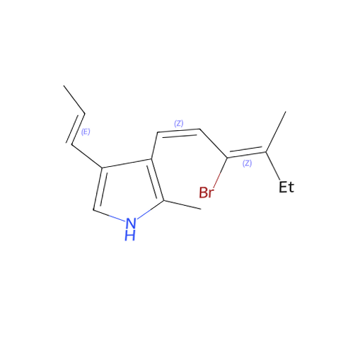 C/C=C/c1c[nH]c(C)c1/C=C\C(Br)=C(/C)CC